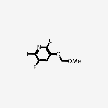 COCOc1cc(F)c(I)nc1Cl